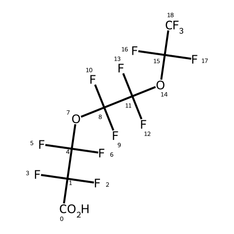 O=C(O)C(F)(F)C(F)(F)OC(F)(F)C(F)(F)OC(F)(F)C(F)(F)F